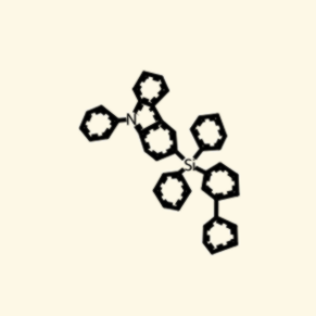 c1ccc(-c2cccc([Si](c3ccccc3)(c3ccccc3)c3ccc4c(c3)c3ccccc3n4-c3ccccc3)c2)cc1